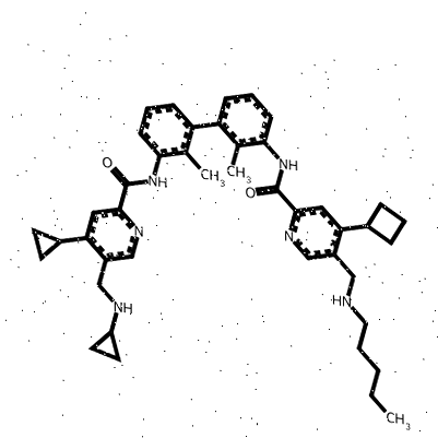 CCCCCNCc1cnc(C(=O)Nc2cccc(-c3cccc(NC(=O)c4cc(C5CC5)c(CNC5CC5)cn4)c3C)c2C)cc1C1CCC1